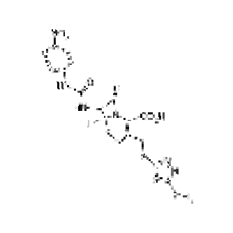 Cc1nnc(SCC2=C(C(=O)O)N3C(=O)C(NC(=O)Nc4ccc([N+](=O)[O-])cc4)[C@@H]3SC2)s1